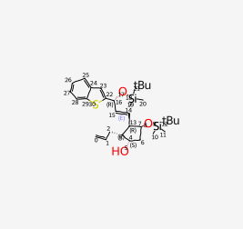 C=CC[C@H]1[C@@H](O)CC(O[Si](C)(C)C(C)(C)C)[C@@H]1/C=C/[C@@H](O[Si](C)(C)C(C)(C)C)c1cc2ccccc2s1